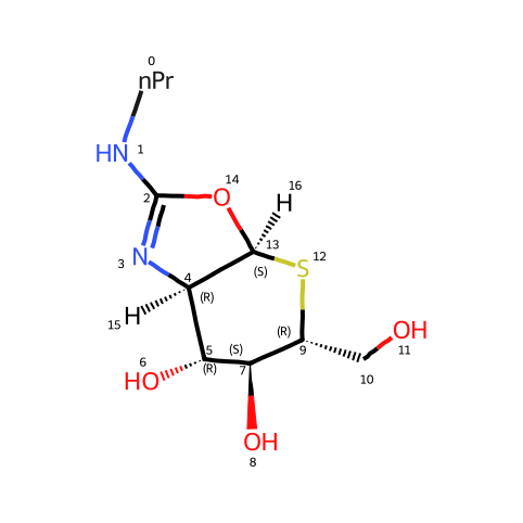 CCCNC1=N[C@@H]2[C@@H](O)[C@H](O)[C@@H](CO)S[C@@H]2O1